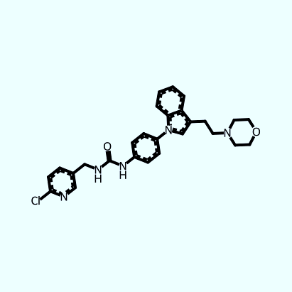 O=C(NCc1ccc(Cl)nc1)Nc1ccc(-n2cc(CCN3CCOCC3)c3ccccc32)cc1